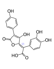 O=C1O/C(=C(\C(=O)O)c2ccc(O)c(O)c2)C(O)=C1c1ccc(O)cc1